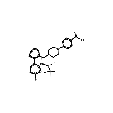 CC(C)(C)[S+]([O-])N[C@H](c1ccccc1-c1ccc(Cl)cc1)C1CCN(c2ccc(C(=O)O)cc2)CC1